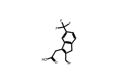 O=C(O)CC1=C(CBr)Cc2ccc(C(F)(F)F)cc21